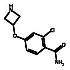 NC(=O)c1ccc(OC2CNC2)cc1Cl